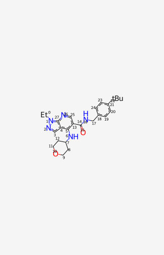 CCn1ncc2c(NC3CCOCC3)c(C(=O)NCc3ccc(C(C)(C)C)cc3)cnc21